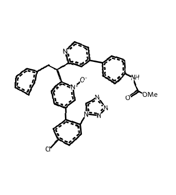 COC(=O)Nc1ccc(-c2ccnc(C(Cc3ccccc3)c3ccc(-c4cc(Cl)ccc4-n4cnnn4)c[n+]3[O-])c2)cc1